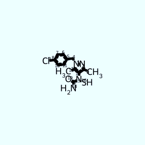 Cc1nn(Cc2ccc(Cl)cc2)c(C)c1N(S)C(N)=O